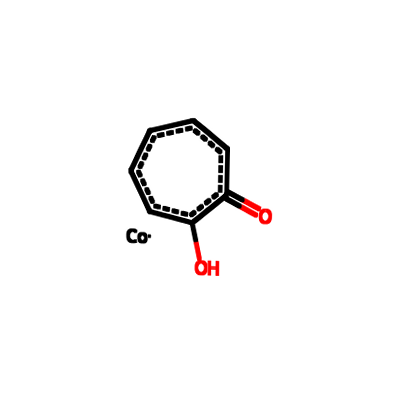 O=c1cccccc1O.[Co]